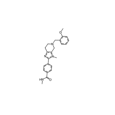 CNC(=O)c1ccc(-c2nc3c(n2C)CN(Cc2ccccc2OC)CC3)cc1